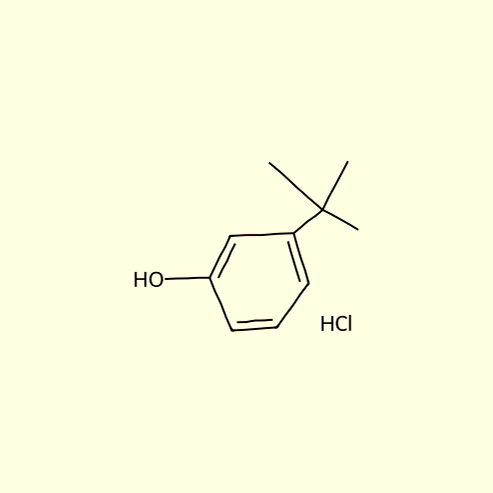 CC(C)(C)c1cccc(O)c1.Cl